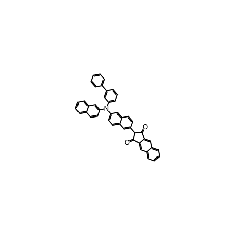 O=C1c2cc3ccccc3cc2C(=O)C1c1ccc2cc(N(c3cccc(-c4ccccc4)c3)c3ccc4ccccc4c3)ccc2c1